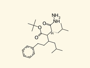 CC(C)CC(CCc1ccccc1)C(C(=O)OC(C)(C)C)[C@@H](CC(C)C)C(=O)NN